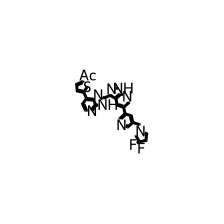 CC(=O)c1ccc(-c2ccnc3[nH]c(-c4n[nH]c5ncc(-c6cncc(CN7CCC(F)(F)C7)c6)cc45)nc23)s1